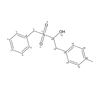 O=S(=O)(Cc1ccccc1)C(O)Cc1ccc(I)cc1